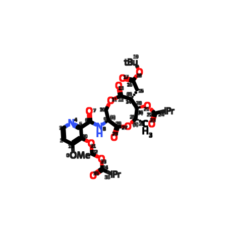 COc1ccnc(C(=O)N[C@H]2COC(=O)[C@H](CC(=O)OC(C)(C)C)[C@@H](OC(=O)C(C)C)[C@H](C)OC2=O)c1OCOC(=O)C(C)C